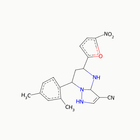 Cc1ccc(C2CC(c3ccc([N+](=O)[O-])o3)NC3C(C#N)=CNN32)c(C)c1